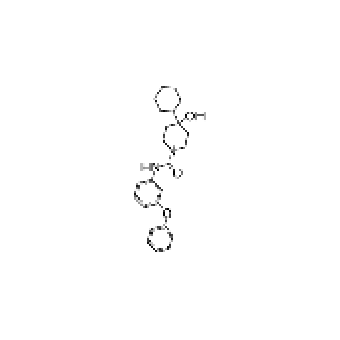 O=C(Nc1cccc(Oc2ccccc2)c1)N1CCC(O)(C2CCCCC2)CC1